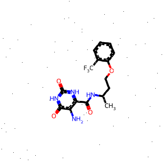 CC(CCOc1ccccc1C(F)(F)F)NC(=O)c1[nH]c(=O)[nH]c(=O)c1N